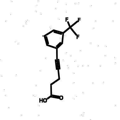 O=C(O)CCC#Cc1c[c]cc(C(F)(F)F)c1